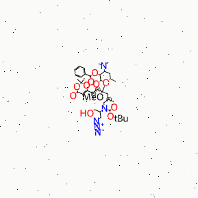 COC(C)(C[C@@H](C)CN(C(=O)OC(C)(C)C)C(CO)CN=[N+]=[N-])[C@H](OC1OC(C)CC(N(C)C)C1OC(=O)c1ccccc1)[C@@H](C)C1=C(C)C(=O)OC(C)(C)O1